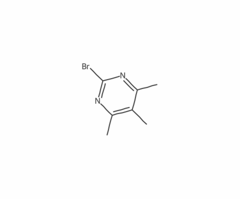 Cc1nc(Br)nc(C)c1C